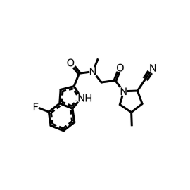 CC1CC(C#N)N(C(=O)CN(C)C(=O)c2cc3c(F)cccc3[nH]2)C1